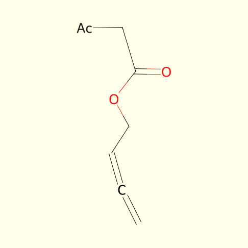 C=C=CCOC(=O)CC(C)=O